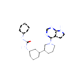 O=C(Nc1ccccc1)N[C@@H]1CCCC(C2CCCN(c3ncnc4[nH]ccc34)C2)C1